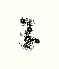 CC(=O)N(Cc1ccc(-c2cnc(N)c(NCc3c(Cl)cccc3Cl)n2)cc1)C1CCN(C(=O)OC(C)(C)C)[C@@H](C(=O)OC2CCCC2)C1